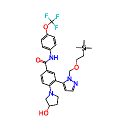 C[Si](C)(C)CCOCn1nccc1-c1cc(C(=O)Nc2ccc(OC(F)(F)F)cc2)ccc1N1CCC(O)C1